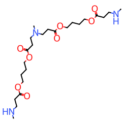 CNCCC(=O)OCCCCOC(=O)CCN(C)CCC(=O)OCCCCOC(=O)CCNC